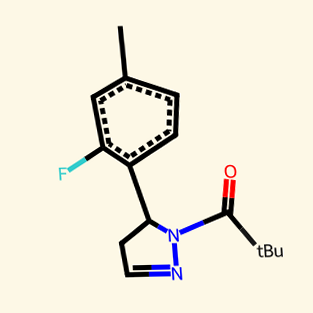 Cc1ccc(C2CC=NN2C(=O)C(C)(C)C)c(F)c1